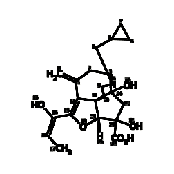 C=C1CC2N(CC3CC3)CCC34C1=C(/C(O)=C\C)O[C@H]3C(O)(C(=O)O)CC24O